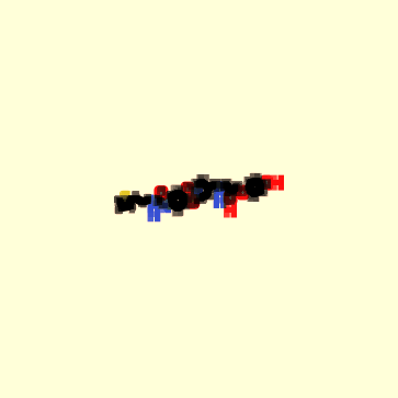 O=C(NCCCc1cccs1)Nc1ccc(S(=O)(=O)N2CCC(CNC[C@H](O)COc3ccc(O)cc3)CC2)cc1